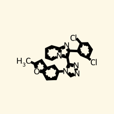 Cc1cc2cc(-n3cnnc3-c3c(-c4cc(Cl)ccc4Cl)nc4ccccn34)ccc2o1